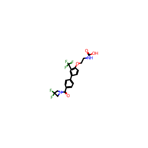 O=C(O)NCCOc1ccc(-c2ccc(C(=O)N3CC(F)(F)C3)cc2)cc1C(F)(F)F